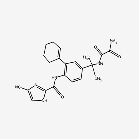 CC(C)(NC(=O)C(N)=O)c1ccc(NC(=O)c2nc(C#N)c[nH]2)c(C2=CCCCC2)c1